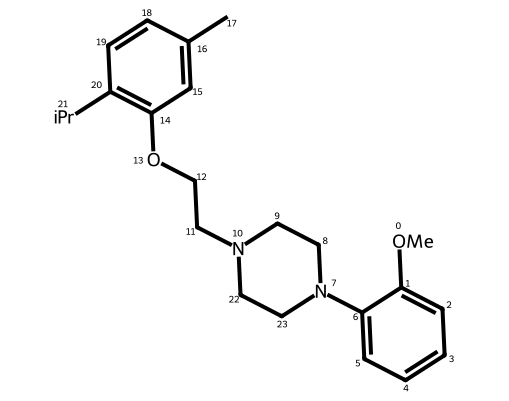 COc1ccccc1N1CCN(CCOc2cc(C)ccc2C(C)C)CC1